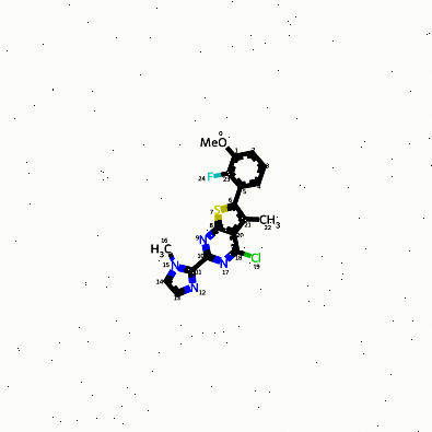 COc1cccc(-c2sc3nc(-c4nccn4C)nc(Cl)c3c2C)c1F